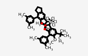 COc1c(C(C)(C)C)cc2c(c1-c1cc(C)cc(C)c1)C=C(C)[CH]2[Zr]([Cl])([Cl])([Cl])([Cl])[CH]1C(C)=Cc2c1cc1c(c2-c2cc(C)cc(C)c2)CCC1